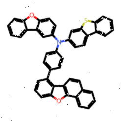 c1ccc2c(c1)ccc1c2oc2cccc(-c3ccc(N(c4ccc5c(c4)sc4ccccc45)c4ccc5oc6ccccc6c5c4)cc3)c21